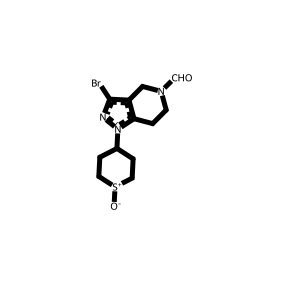 O=CN1CCc2c(c(Br)nn2C2CC[S+]([O-])CC2)C1